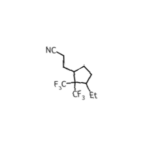 [CH2]CC1C[CH]C(CCC#N)C1(C(F)(F)F)C(F)(F)F